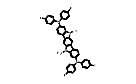 Cn1c2cc(N(c3ccc(F)cc3)c3ccc(F)cc3)ccc2c2cc3c(cc21)c1ccc(N(c2ccc(F)cc2)c2ccc(F)cc2)cc1n3C